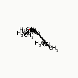 CCCCCOC[C@H](COCCCCCCCCOC1CC[C@@]2(C)C(=CC[C@H]3[C@@H]4CC[C@H]([C@H](C)CCCC(C)C)[C@@]4(C)CC[C@@H]32)C1)N(C)C